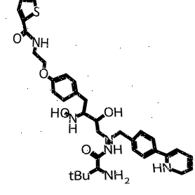 CC(C)(C)C(N)C(=O)NN(Cc1ccc(C2=CC=CCN2)cc1)CC(O)C(CC1=CC=C(OCCNC(=O)c2cccs2)CC1)NO